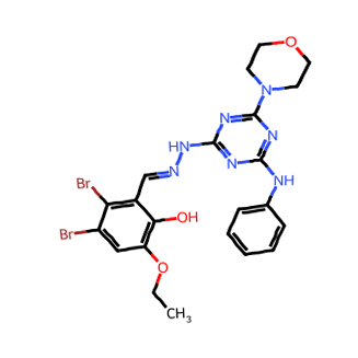 CCOc1cc(Br)c(Br)c(/C=N/Nc2nc(Nc3ccccc3)nc(N3CCOCC3)n2)c1O